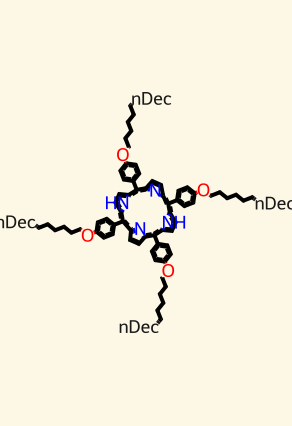 CCCCCCCCCCCCCCCCOc1ccc(-c2c3nc(c(-c4ccc(OCCCCCCCCCCCCCCCC)cc4)c4ccc([nH]4)c(-c4ccc(OCCCCCCCCCCCCCCCC)cc4)c4nc(c(-c5ccc(OCCCCCCCCCCCCCCCC)cc5)c5ccc2[nH]5)C=C4)C=C3)cc1